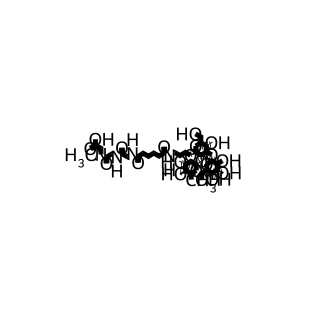 CCN(CC(=O)O)C(=O)CNC(=O)CNC(=O)CCCCC(=O)NCCCO[C@@H]1OC(CO)[C@H](O)C(O[C@H]2OC(CO)[C@H](O)[C@H](O)C2O)[C@@H]1O[C@H]1C[C@@H](O)[C@H](O)C(C)O1